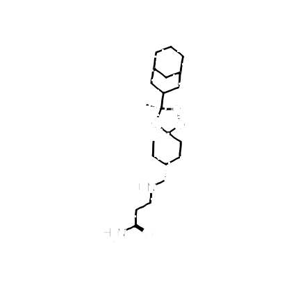 C[C@@]1(C2CC3CCCC(C3)C2)OO[C@]2(CC[C@@H](CNCCC(N)=O)CC2)O1